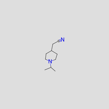 CC(C)N1CCC(CC#N)CC1